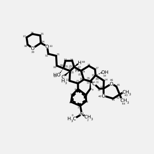 CN(C)c1ccc2c(c1)C[C@]13CCC4(C[C@]1(O)CC[C@@H]1C3C2C[C@@]2(C)[C@@H]1CC[C@]2(O)CCCOC1CCCCO1)OCC(C)(C)CO4